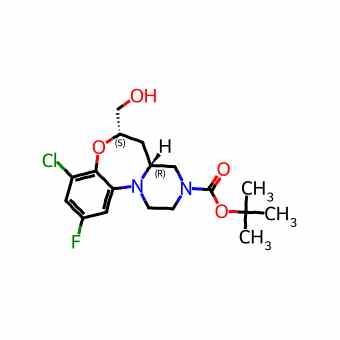 CC(C)(C)OC(=O)N1CCN2c3cc(F)cc(Cl)c3O[C@H](CO)C[C@@H]2C1